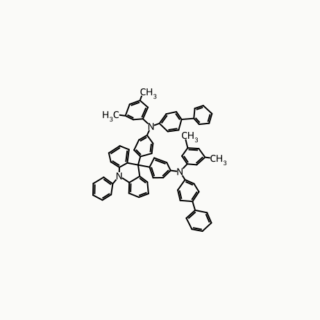 Cc1cc(C)cc(N(c2ccc(-c3ccccc3)cc2)c2ccc(C3(c4ccc(N(c5ccc(-c6ccccc6)cc5)c5cc(C)cc(C)c5)cc4)c4ccccc4N(c4ccccc4)c4ccccc43)cc2)c1